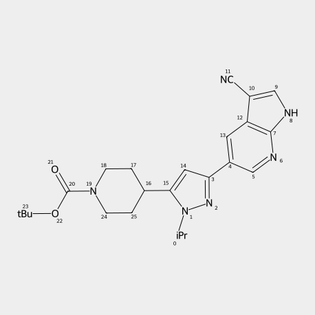 CC(C)n1nc(-c2cnc3[nH]cc(C#N)c3c2)cc1C1CCN(C(=O)OC(C)(C)C)CC1